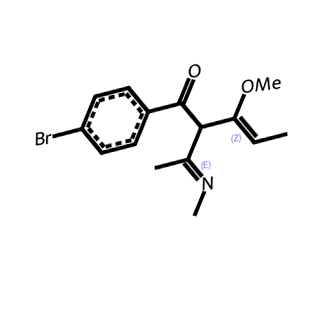 C/C=C(\OC)C(C(=O)c1ccc(Br)cc1)/C(C)=N/C